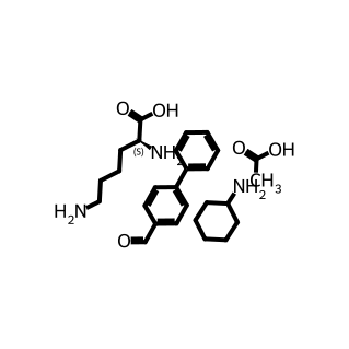 CC(=O)O.NC1CCCCC1.NCCCC[C@H](N)C(=O)O.O=Cc1ccc(-c2ccccc2)cc1